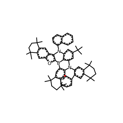 CC(C)(C)c1cc2c3c(c1)N(c1cccc4ccccc14)c1c(oc4cc5c(cc14)C(C)(C)CCC5(C)C)B3c1cc3c(cc1N2c1cc2c(cc1-c1ccccc1)C(C)(C)CCC2(C)C)C(C)(C)CCC3(C)C